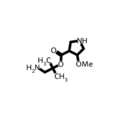 COC1CNCC1C(=O)OC(C)(C)CN